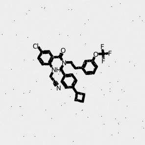 N#CCNc1ccc(Cl)cc1C(=O)N(CCc1cccc(OC(F)(F)F)c1)Cc1ccc(C2CCC2)cc1